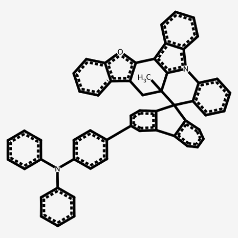 CC12Cc3c(oc4ccccc34)-c3c1n(c1ccccc31)-c1ccccc1C21c2ccccc2-c2cc(-c3ccc(N(c4ccccc4)c4ccccc4)cc3)ccc21